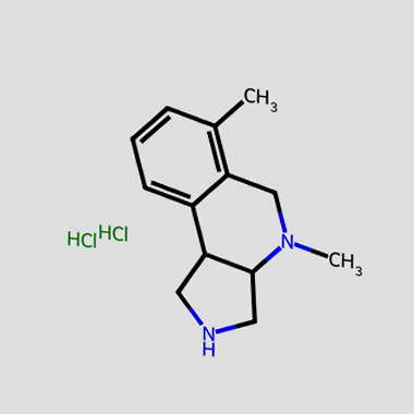 Cc1cccc2c1CN(C)C1CNCC21.Cl.Cl